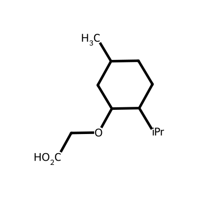 CC1CCC(C(C)C)C(OCC(=O)O)C1